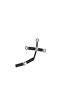 C=C=CS([O])(=O)=O